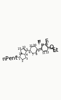 CCCCCC1CCC2C(C3CC=C(c4ccc(OCC)c(F)c4F)CC3)=CCC12